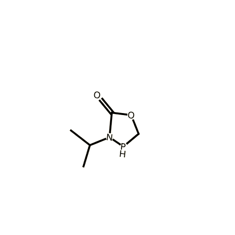 CC(C)N1PCOC1=O